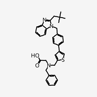 CC(C)(C)Cc1nc2ccccc2n1Cc1ccc(-c2csc(CN(CC(=O)O)Cc3ccccc3)c2)cc1